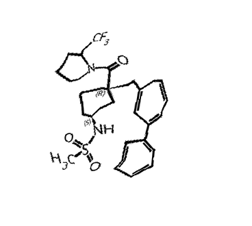 CS(=O)(=O)N[C@H]1CC[C@](Cc2cccc(-c3ccccc3)c2)(C(=O)N2CCCC2C(F)(F)F)C1